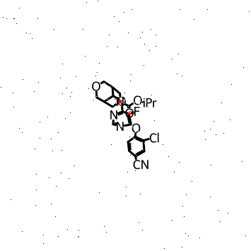 CC(C)OC(=O)N1CC2COCC(C1)C2Oc1ncnc(Oc2ccc(C#N)cc2Cl)c1F